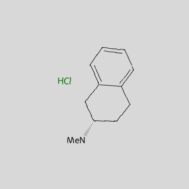 CN[C@H]1CCc2ccccc2C1.Cl